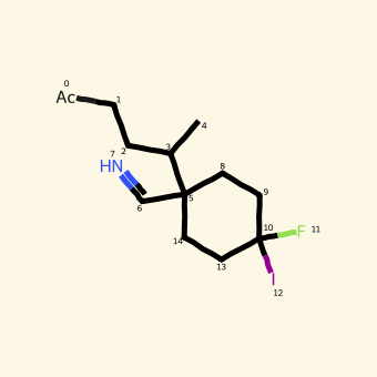 CC(=O)CCC(C)C1(C=N)CCC(F)(I)CC1